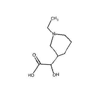 CCN1CCCC(C(O)C(=O)O)C1